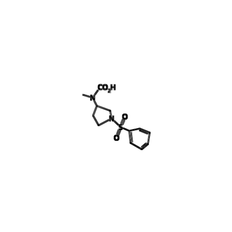 CN(C(=O)O)C1CCN(S(=O)(=O)c2ccccc2)C1